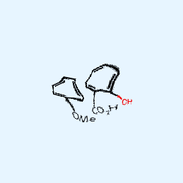 COc1ccccc1.O=C(O)c1ccccc1O